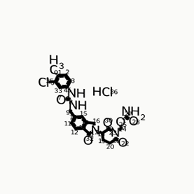 Cc1ccc(NC(=O)NCc2ccc3c(c2)CN(C2CCC(=O)N(COC(N)=O)C2=O)C3=O)cc1Cl.Cl